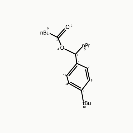 CCCCC(=O)OC(CCC)c1ccc(C(C)(C)C)cc1